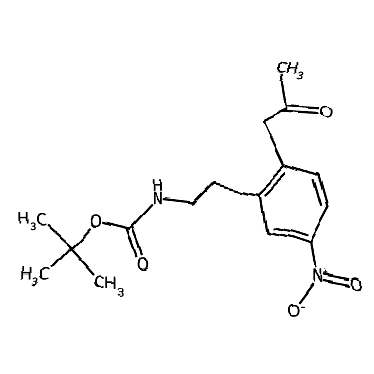 CC(=O)Cc1ccc([N+](=O)[O-])cc1CCNC(=O)OC(C)(C)C